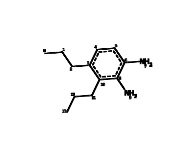 CCCc1ccc(N)c(N)c1CCC